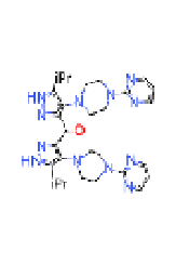 CC(C)c1[nH]nc(C(=O)c2n[nH]c(C(C)C)c2N2CCN(c3ncccn3)CC2)c1N1CCN(c2ncccn2)CC1